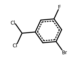 Fc1cc(Br)cc(C(Cl)Cl)c1